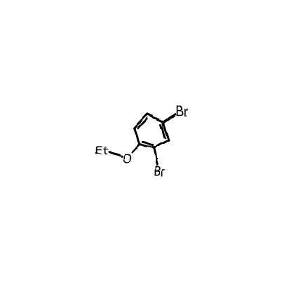 [CH2]COc1ccc(Br)cc1Br